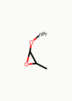 CCCOC1OC1C